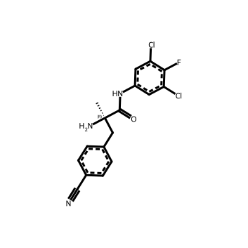 C[C@@](N)(Cc1ccc(C#N)cc1)C(=O)Nc1cc(Cl)c(F)c(Cl)c1